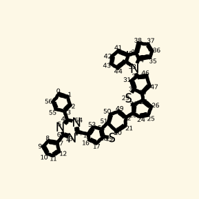 c1ccc(-c2nc(-c3ccccc3)nc(-c3ccc4sc5cc(-c6cccc7c6sc6cc(-n8c9ccccc9c9ccccc98)ccc67)ccc5c4c3)n2)cc1